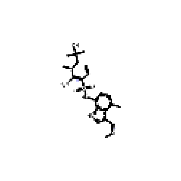 C=C/C(=C(/N)N(C)CC(C)(C)O)S(=O)(=O)Nc1ccc(C)c2c(/C=N\C)c[nH]c12